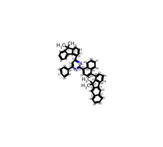 CC1(C)c2ccccc2-c2c(-c3cc(-c4ccccc4)nc(-c4ccc(-c5cccc6c5C(C)(C)c5cc7ccccc7cc5-6)c5ccccc45)n3)cccc21